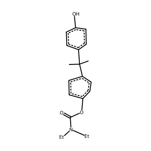 CCN(CC)C(=O)Oc1ccc(C(C)(C)c2ccc(O)cc2)cc1